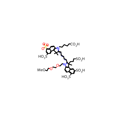 COCCOCCOCC[N+]1=C(/C=C/C=C/C=C2/N(CCCCCC(=O)O)c3ccc4c(S(=O)(=O)[O-])cc(S(=O)(=O)O)cc4c3C2(C)C)C(C)(CCCS(=O)(=O)O)c2c1ccc1c(S(=O)(=O)O)cc(S(=O)(=O)O)cc21